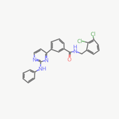 O=C(NCc1cccc(Cl)c1Cl)c1cccc(-c2ccnc(Nc3ccccc3)n2)c1